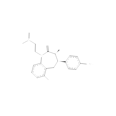 CC[C@@H]1C(=O)N(CCN(C)C)c2cccc(C(F)(F)F)c2C[C@@H]1c1ccc(OC)cc1